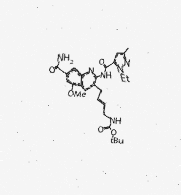 CCn1nc(C)cc1C(=O)Nc1nc2cc(C(N)=O)cc(OC)c2cc1C/C=C/CNC(=O)OC(C)(C)C